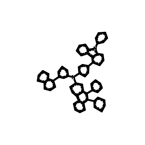 c1ccc(-c2c(-c3ccccc3)c3cc(N(c4ccc(-c5cccc6c5c5ccccc5n6-c5ccccc5)cc4)c4cccc(-c5cccc6ccccc56)c4)ccc3c3ccccc23)cc1